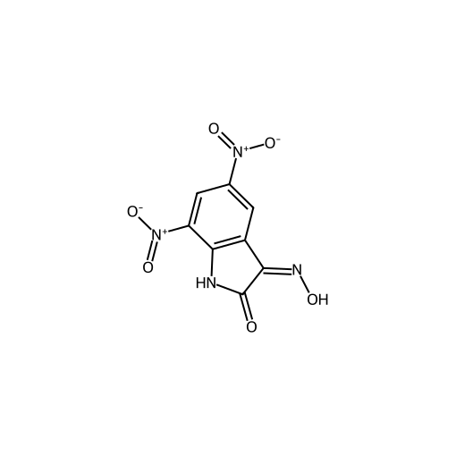 O=C1Nc2c(cc([N+](=O)[O-])cc2[N+](=O)[O-])/C1=N/O